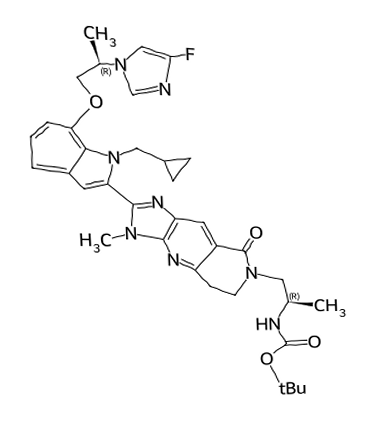 C[C@H](CN1CCc2nc3c(cc2C1=O)nc(-c1cc2cccc(OC[C@@H](C)n4cnc(F)c4)c2n1CC1CC1)n3C)NC(=O)OC(C)(C)C